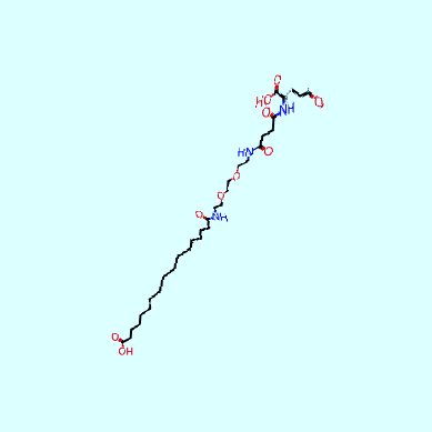 O=[C]CC[C@H](NC(=O)CCC(=O)NCCOCCOCCNC(=O)CCCCCCCCCCCCCCCC(=O)O)C(=O)O